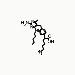 CCCCCNc1nc(N)nc(C)c1Cc1ccc(C(CCCCN(C)C)C(=O)O)cc1